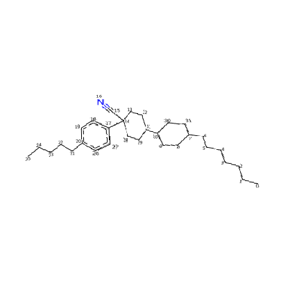 CCCCCCCC1CCC(C2CCC(C#N)(c3ccc(CCCCC)cc3)CC2)CC1